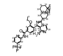 CCOc1cc(C(=O)Nc2cc(C(F)(F)F)ccn2)ccc1-c1nc([C@@H]2CC[C@H]3N(CCCC3(F)F)C2)n2ccnc(N)c12